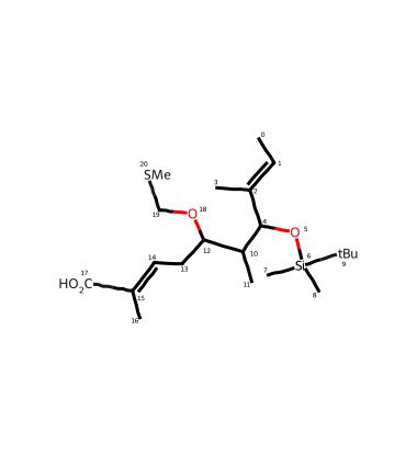 C/C=C(\C)C(O[Si](C)(C)C(C)(C)C)C(C)C(C/C=C(\C)C(=O)O)OCSC